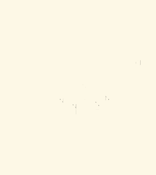 S=C(NN=Cc1cccc(Cl)c1)NN=Cc1cccc(Cl)c1